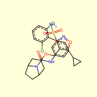 NS(=O)(=O)c1cccc(NC(=O)N2C3CCC2CC(OCc2c(-c4c(Cl)cccc4Cl)noc2C2CC2)C3)c1